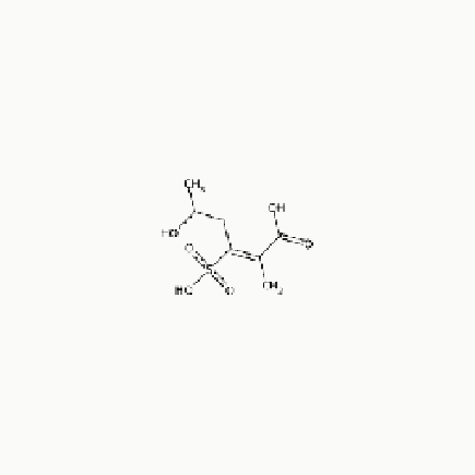 CC(C(=O)O)=C(CC(C)O)S(=O)(=O)O